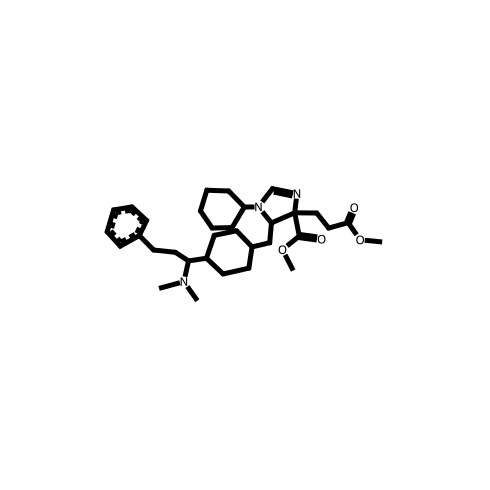 COC(=O)CCC1(C(=O)OC)N=CN(C2CCCCC2)C1CC1CCC(C(CCc2ccccc2)N(C)C)CC1